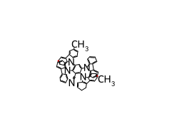 Cc1ccc2c(c1)c1ccccc1n2-c1cc(-n2c3ccccc3c3cc(C)ccc32)c(-n2c3ccccc3c3ccccc32)c(C#N)c1-n1c2c(c3ccccc31)CCC=C2